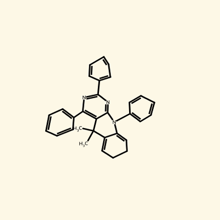 CC1(C)C2=CCCC=C2N(c2ccccc2)c2nc(-c3ccccc3)nc(-c3ccccc3)c21